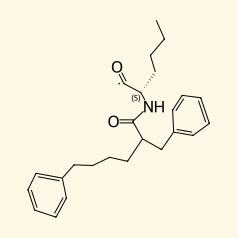 CCCC[C@@H]([C]=O)NC(=O)C(CCCCc1ccccc1)Cc1ccccc1